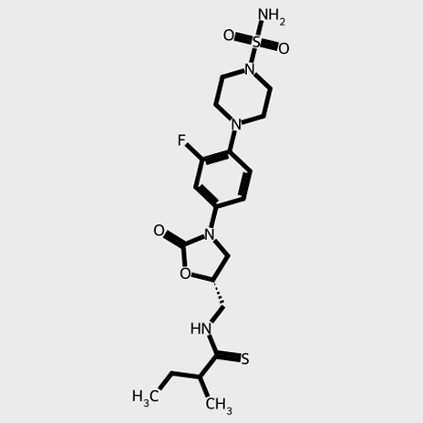 CCC(C)C(=S)NC[C@H]1CN(c2ccc(N3CCN(S(N)(=O)=O)CC3)c(F)c2)C(=O)O1